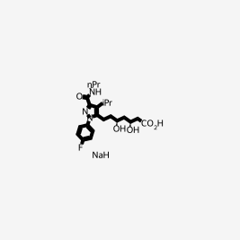 CCCNC(=O)c1nn(-c2ccc(F)cc2)c(CC[C@@H](O)C[C@@H](O)CC(=O)O)c1C(C)C.[NaH]